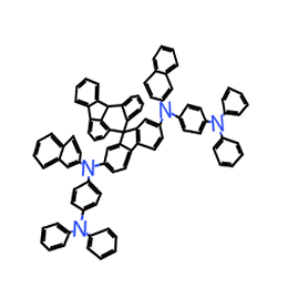 c1ccc(N(c2ccccc2)c2ccc(N(c3ccc4c(c3)C3(c5cc(N(c6ccc(N(c7ccccc7)c7ccccc7)cc6)c6ccc7ccccc7c6)ccc5-4)c4ccccc4C4c5ccccc5-c5cccc3c54)c3ccc4ccccc4c3)cc2)cc1